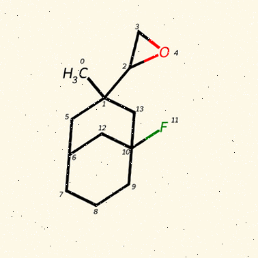 CC1(C2CO2)CC2CCCC(F)(C2)C1